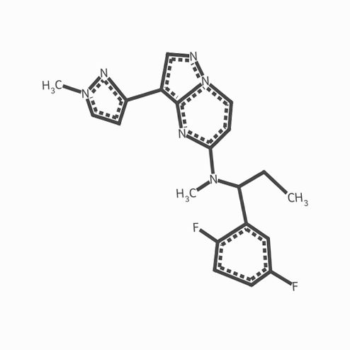 CCC(c1cc(F)ccc1F)N(C)c1ccn2ncc(-c3ccn(C)n3)c2n1